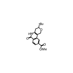 COC(=O)c1ccc2c(=O)[nH]c3c(c2c1)COC(C(C)(C)C)C3